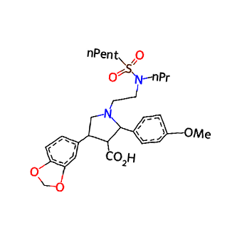 CCCCCS(=O)(=O)N(CCC)CCN1CC(c2ccc3c(c2)OCO3)C(C(=O)O)C1c1ccc(OC)cc1